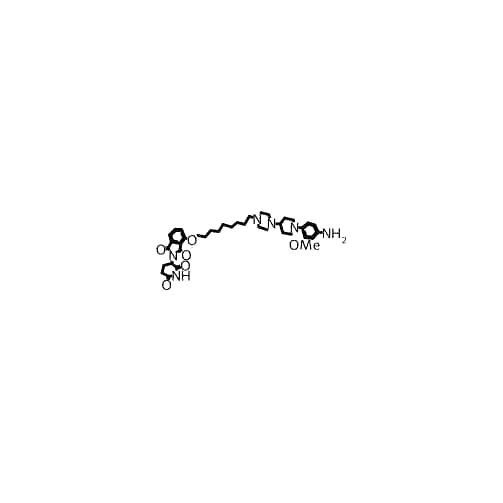 COc1cc(N2CCC(N3CCN(CCCCCCCCCOc4cccc5c4C(=O)N(C4CCC(=O)NC4=O)C5=O)CC3)CC2)ccc1N